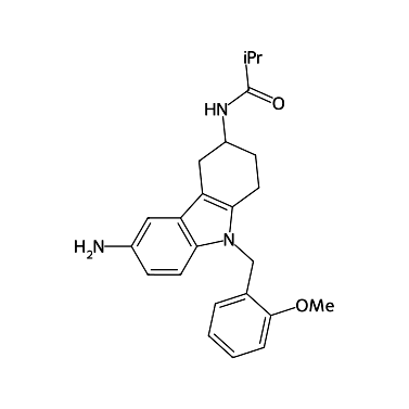 COc1ccccc1Cn1c2c(c3cc(N)ccc31)CC(NC(=O)C(C)C)CC2